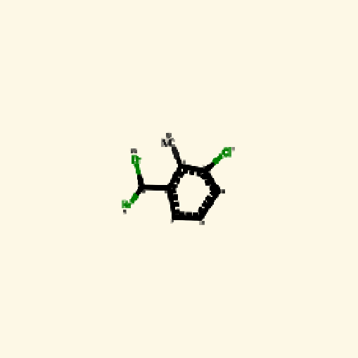 N#Cc1c(Cl)cccc1C(Br)Br